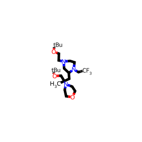 CC(C)(C)OCCN1CCN(CC(F)(F)F)C(CC(C)(COC(C)(C)C)N2CCOCC2)C1